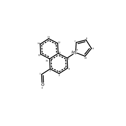 O=Cc1ccc([SH]2C=CC=C2)c2ccccc12